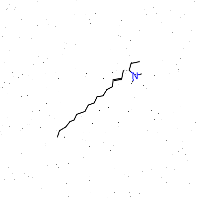 CCCCCCCCCCCCC/C=C/C[C@H](CC)N(C)C